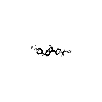 CN1CCC(Oc2ccc3c(C4CCN(C(=O)OC(C)(C)C)CC4)cnn3c2)CC1